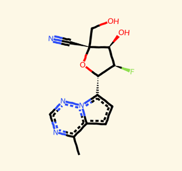 Cc1ncnn2c([C@@H]3O[C@](C#N)(CO)[C@@H](O)[C@H]3F)ccc12